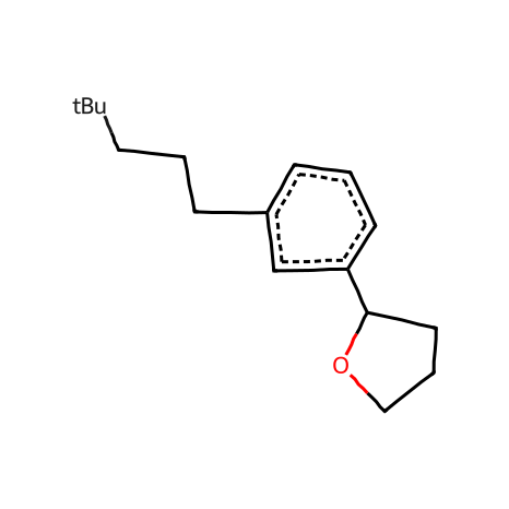 CC(C)(C)CCCc1cccc(C2CCCO2)c1